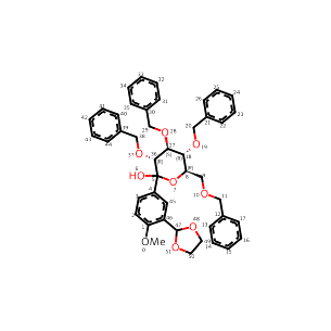 COc1ccc(C2(O)O[C@H](COCc3ccccc3)[C@@H](OCc3ccccc3)[C@H](OCc3ccccc3)[C@H]2OCc2ccccc2)cc1C1OCCO1